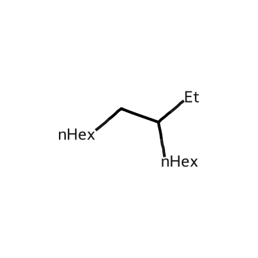 [CH2]CCCCCCC(CC)CCCCC[CH2]